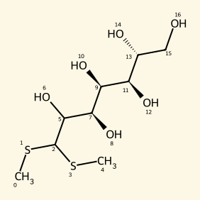 CSC(SC)C(O)[C@H](O)[C@@H](O)[C@H](O)[C@H](O)CO